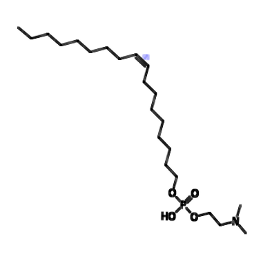 CCCCCCCC/C=C\CCCCCCCCOP(=O)(O)OCCN(C)C